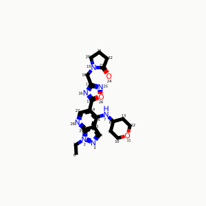 CCn1ncc2c(NC3CCOCC3)c(-c3nc(CN4CCCC4=O)no3)cnc21